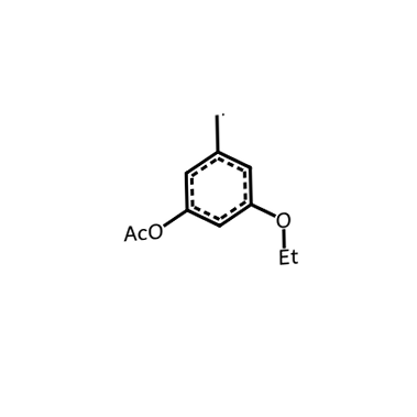 [CH2]c1cc(OCC)cc(OC(C)=O)c1